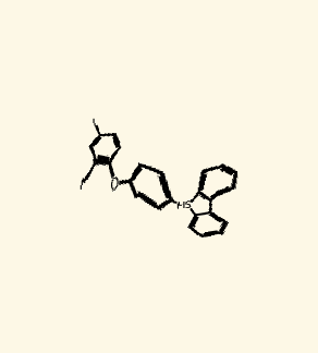 Ic1ccc(Oc2ccc([SH]3c4ccccc4-c4ccccc43)cc2)c(I)c1